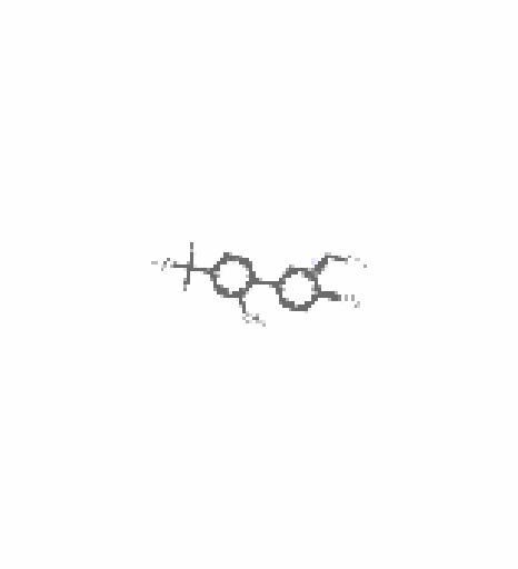 C=c1ccc(-c2ccc(C(C)(F)F)cc2C)c/c1=C/C